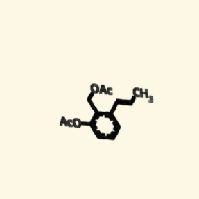 C/C=C/c1cccc(OC(C)=O)c1COC(C)=O